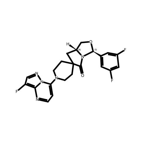 O=C1N2[C@@H](CO[C@H]2c2cc(F)cc(F)c2)CC12CCN(c1ccnc3c(F)cnn13)CC2